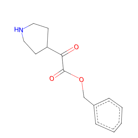 O=C(OCc1ccccc1)C(=O)C1CCNCC1